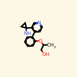 CC(CO)Oc1ccccc1-c1ccncc1C1(N)CC1